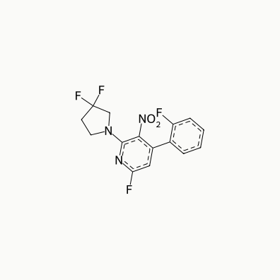 O=[N+]([O-])c1c(-c2ccccc2F)cc(F)nc1N1CCC(F)(F)C1